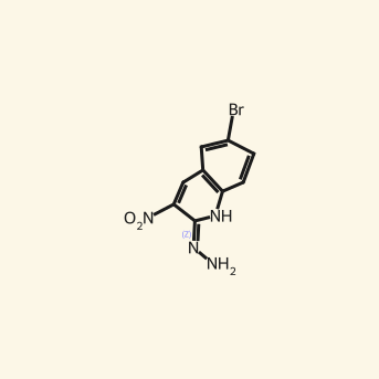 N/N=c1\[nH]c2ccc(Br)cc2cc1[N+](=O)[O-]